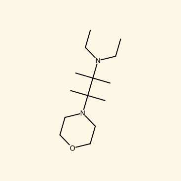 CCN(CC)C(C)(C)C(C)(C)N1CCOCC1